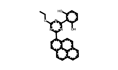 CCOc1nc(-c2c(O)cccc2O)nc(-c2ccc3ccc4cccc5ccc2c3c45)n1